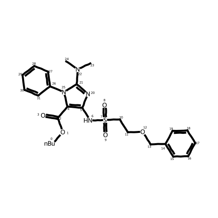 CCCCOC(=O)c1c(NS(=O)(=O)CCOCc2ccccc2)nc(N(C)C)n1-c1ccccc1